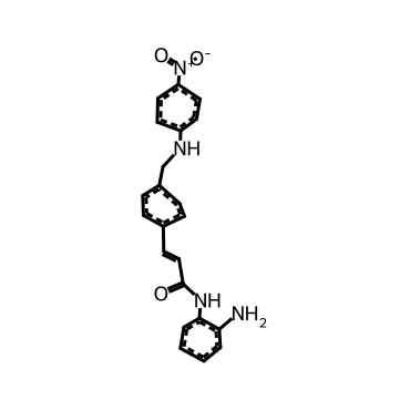 Nc1ccccc1NC(=O)C=Cc1ccc(CNc2ccc([N+](=O)[O-])cc2)cc1